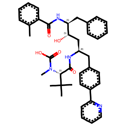 Cc1ccccc1C(=O)N[C@@H](Cc1ccccc1)[C@@H](O)C[C@@H](Cc1ccc(-c2ccccn2)cc1)NC(=O)[C@@H](N(C)C(=O)O)C(C)(C)C